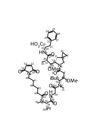 CC[C@H](C)[C@@H]([C@@H](CC(=O)N1CC2(CC2)C[C@H]1[C@H](OC)[C@@H](C)C(=O)N[C@@H](Cc1ccccc1)C(=O)O)OC)N(C)C(=O)CNC(=O)[C@H](C(C)C)N(C)C(=O)CCCCCN1C(=O)C=CC1=O